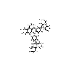 C1=CC2c3ccccc3N(c3ccc(N(c4ccc(-c5cc6ccccc6c6ccccc56)cc4)c4cc5ccccc5c5ccccc45)cc3)C2C=C1